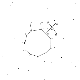 CC1CCCCCCCCC([Si](C)(C)C)C1C